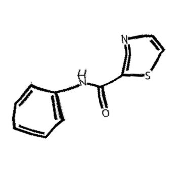 O=C(Nc1[c]cccc1)c1nccs1